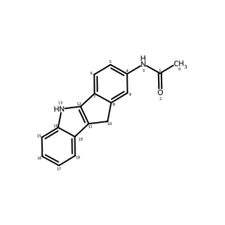 CC(=O)Nc1ccc2c(c1)Cc1c-2[nH]c2ccccc12